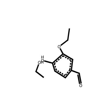 CCO.CCOc1cc(C=O)ccc1O